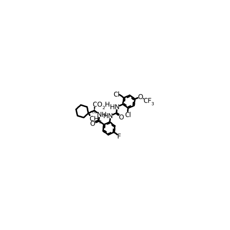 CC1([C@H](NC(=O)c2ccc(F)cc2NC(=O)Nc2c(Cl)cc(OC(F)(F)F)cc2Cl)C(=O)O)CCCCC1